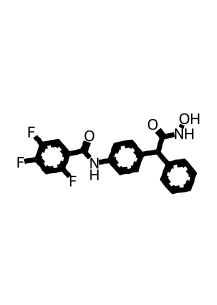 O=C(Nc1ccc(C(C(=O)NO)c2ccccc2)cc1)c1cc(F)c(F)cc1F